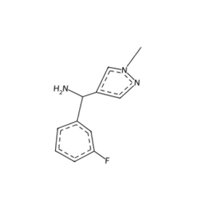 Cn1cc(C(N)c2cccc(F)c2)cn1